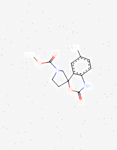 Cc1ccc2c(c1)C1(CCN(C(=O)OC(C)(C)C)C1)OC(=O)N2